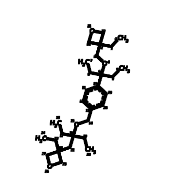 CCC1(COC(CC)(CC)c2ccc(COC(CC)(CC)CC3(CC)COC3)cc2)COC1